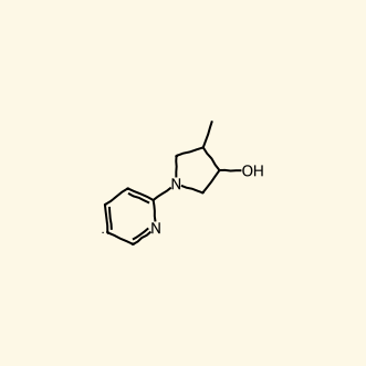 CC1CN(c2cc[c]cn2)CC1O